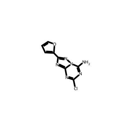 Nc1nc(Cl)nc2nc(-c3ccco3)nn12